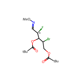 CON=C[C@@H](F)C(OC(=O)C(C)(C)C)C(Br)COC(=O)C(C)(C)C